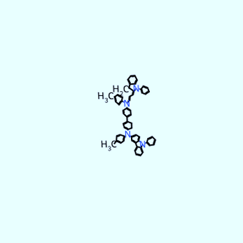 C=c1/c(=C\C=C\N(c2ccc(C)cc2)c2ccc(C3=CC=C(N(c4ccc(C)cc4)c4ccc5c(c4)c4ccccc4n5-c4ccccc4)CC3)cc2)n(-c2ccccc2)c2ccccc12